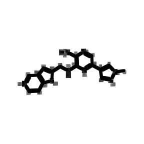 Cn1cc(-c2cnc(N)c(NCc3cc4cnccc4s3)n2)cn1